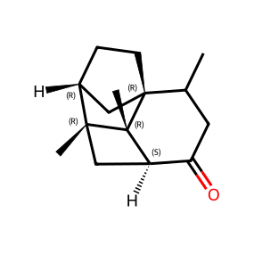 CC1CC(=O)[C@H]2C[C@]3(C)[C@@H]4CC[C@]1(C4)[C@]23C